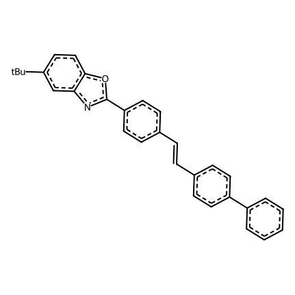 CC(C)(C)c1ccc2oc(-c3ccc(C=Cc4ccc(-c5ccccc5)cc4)cc3)nc2c1